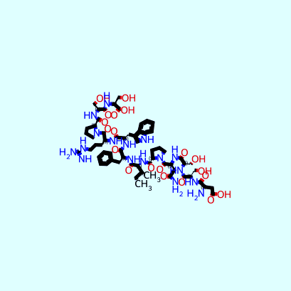 CC[C@H](C)[C@H](NC(=O)[C@@H]1CCCN1C(=O)[C@H](CC(N)=O)NC(=O)[C@H](CO)NC(=O)[C@H](CO)NC(=O)[C@@H](N)CC(=O)O)C(=O)N[C@@H](Cc1ccccc1)C(=O)N[C@@H](Cc1c[nH]c2ccccc12)C(=O)N[C@@H](CCCNC(=N)N)C(=O)N1CCC[C@H]1C(=O)N[C@@H](CO)C(=O)N[C@@H](CO)C(=O)O